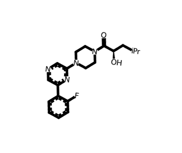 CC(C)C[C@@H](O)C(=O)N1CCN(c2cncc(-c3ccccc3F)n2)CC1